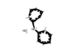 Cl.c1ccc(Pc2ccccn2)nc1